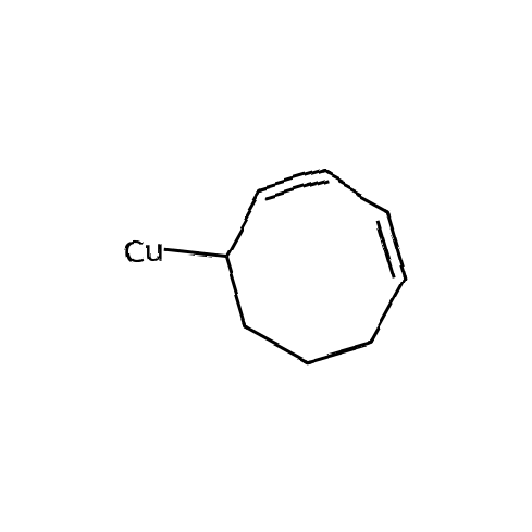 [Cu][CH]1/C=C\C=C/CCC1